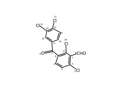 O=[C]c1c(Cl)ccc(C(=O)c2ccc(Cl)c(Cl)c2)c1Cl